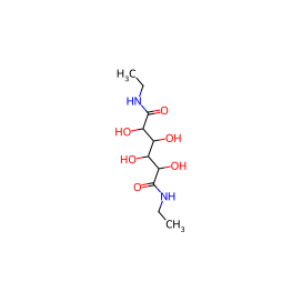 CCNC(=O)C(O)C(O)C(O)C(O)C(=O)NCC